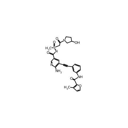 Cc1ccoc1C(=O)Nc1cccc(C#Cc2cc(C(=O)N=S(C)(=O)CC(=O)N3CCC(O)C3)cnc2N)c1